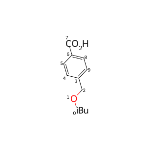 CCC(C)OCc1ccc(C(=O)O)cc1